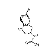 O=C(O)NC1CNc2ccc(Br)cc2C1